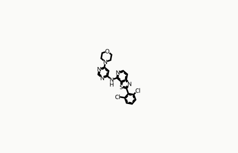 Clc1cccc(Cl)c1-c1nc2ccnc(Nc3cc(N4CCOCC4)ncn3)c2s1